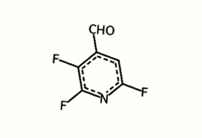 O=Cc1cc(F)nc(F)c1F